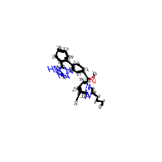 CCCCc1cn2c(C(OC)c3ccc(-c4ccccc4-c4nnn[nH]4)cc3)ccc(C)c2n1